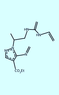 C=CNC(=C)NCC(C)n1ncc(C(=O)OCC)c1N=C